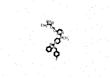 CCSN(C)C(=O)OCOc1ccnc(N(C)C2CCN(c3nc4ccccc4n3Cc3ccc(F)cc3)CC2)n1